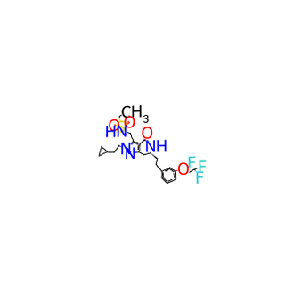 CCS(=O)(=O)NCc1c2c(nn1CCC1CC1)C[C@H](CCc1cccc(OCC(F)(F)F)c1)NC2=O